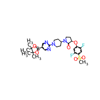 CC1(C)OB(c2cnc(N3CCC(N4CCC(Oc5cc(F)c(S(C)(=O)=O)cc5F)C4=O)CC3)nc2)OC1(C)C